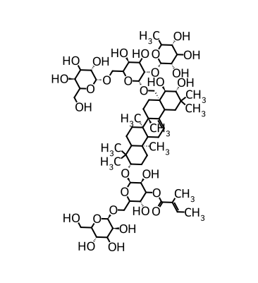 C/C=C(\C)C(=O)OC1[C@H](O)C(CO[C@@H]2OC(CO)[C@@H](O)C(O)[C@@H]2O)O[C@@H](O[C@H]2CC[C@@]3(C)C(CC[C@]4(C)C3CC=C3C5CC(C)(C)[C@@H](O)[C@H](O)[C@]5(CO[C@@H]5OC(CO[C@@H]6OC(CO)[C@@H](O)C(O)[C@@H]6O)[C@@H](O)C(O)[C@@H]5O[C@@H]5OC(C)[C@H](O)C(O)[C@@H]5O)CC[C@]34C)C2(C)C)[C@H]1O